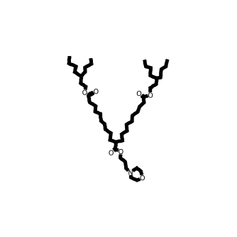 CCCCC(CCCC)CCOC(=O)CCCCCCCCCC(CCCCCCCCCC(=O)OCCC(CCCC)CCCC)C(=O)OCCCN1CCOCC1